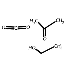 CC(C)=O.CCO.O=C=O